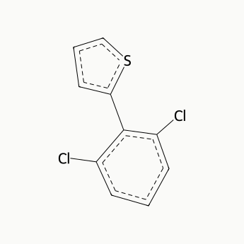 Clc1cccc(Cl)c1-c1cccs1